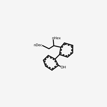 CCCCCCCCCCCC(CCCCCC)c1ccccc1-c1ccccc1O